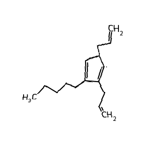 C=CCC1=[C]C(CC=C)C=C1CCCCC